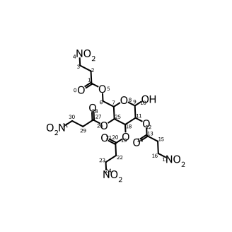 O=C(CC[N+](=O)[O-])OCC1OC(O)C(OC(=O)CC[N+](=O)[O-])C(OC(=O)CC[N+](=O)[O-])C1OC(=O)CC[N+](=O)[O-]